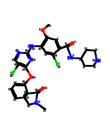 COc1cc(C(=O)NC2CCNCC2)c(Cl)cc1Nc1ncc(Cl)c(Oc2cccc3c2C(=O)N(C)C3)n1